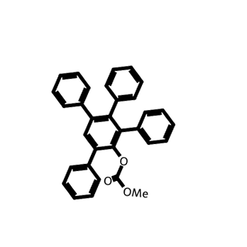 COC(=O)Oc1c(-c2ccccc2)cc(-c2ccccc2)c(-c2ccccc2)c1-c1ccccc1